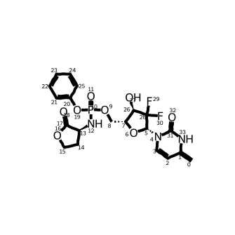 C=C1C=CN([C@@H]2O[C@H](COP(=O)(N[C@H]3CCOC3=O)Oc3ccccc3)[C@@H](O)C2(F)F)C(=O)N1